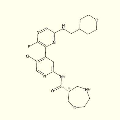 O=C(Nc1cc(-c2nc(NCC3CCOCC3)cnc2F)c(Cl)cn1)[C@@H]1CNCCOC1